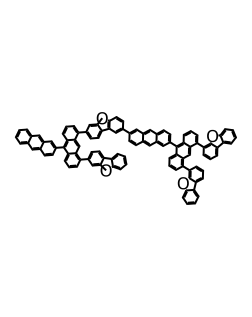 c1ccc2cc3cc(-c4c5cccc(-c6ccc7c(c6)oc6ccccc67)c5cc5c(-c6ccc7c(c6)oc6ccc(-c8ccc9cc%10cc(-c%11c%12cccc(-c%13cccc%14c%13oc%13ccccc%13%14)c%12cc%12c(-c%13cccc%14c%13oc%13ccccc%13%14)cccc%11%12)ccc%10cc9c8)cc67)cccc45)ccc3cc2c1